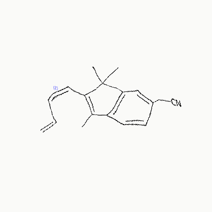 C=C/C=C\C1=C(C)c2ccc(C#N)cc2C1(C)C